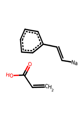 C=CC(=O)O.[Na][CH]=Cc1ccccc1